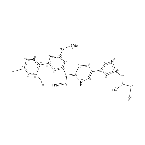 CSNc1cc(/C(C=N)=C2\C=CC(c3cnn(CC(O)CO)c3)=CN2)cc(-c2ncc(F)cc2F)c1